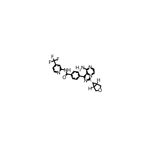 Nc1nccn2c([C@@H]3[C@@H]4COC[C@@H]43)nc(-c3ccc(C(=O)Nc4cc(C(F)(F)F)ccn4)cc3)c12